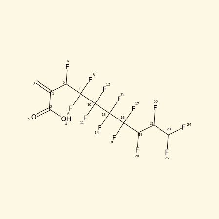 C=C(C(=O)O)C(F)C(F)(F)C(F)(F)C(F)(F)C(F)(F)C(F)C(F)C(F)F